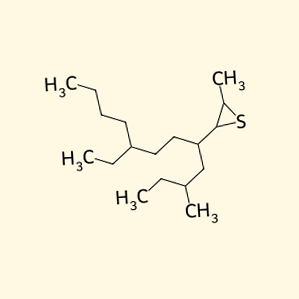 CCCCC(CC)CCC(CC(C)CC)C1SC1C